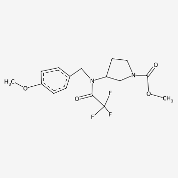 COC(=O)N1CCC(N(Cc2ccc(OC)cc2)C(=O)C(F)(F)F)C1